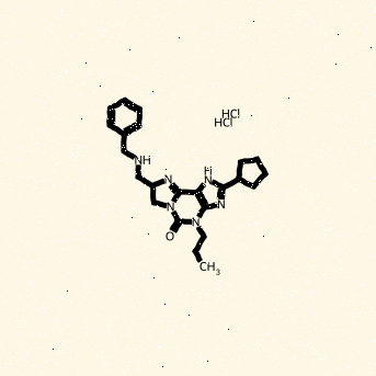 CCCN1C(=O)N2CC(CNCc3ccccc3)N=C2c2[nH]c(C3CCCC3)nc21.Cl.Cl